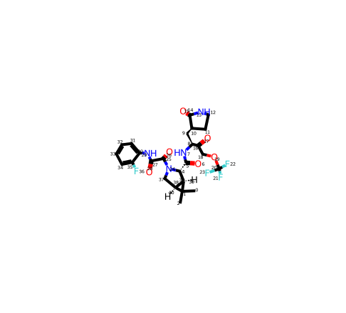 CC1(C)[C@@H]2[C@@H](C(=O)N[C@@H](C[C@@H]3CCNC3=O)C(=O)COC(F)(F)F)N(C(=O)C(=O)Nc3ccccc3F)C[C@@H]21